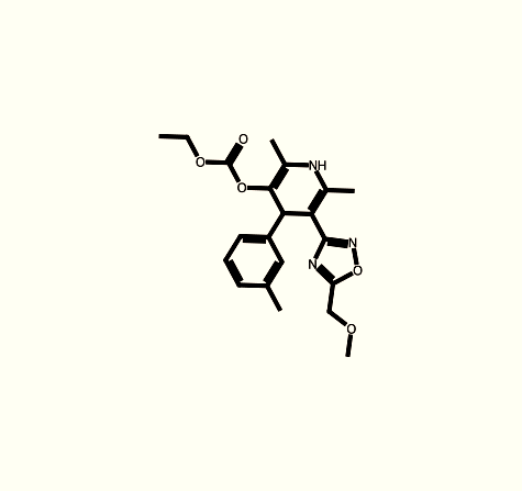 CCOC(=O)OC1=C(C)NC(C)=C(c2noc(COC)n2)C1c1cccc(C)c1